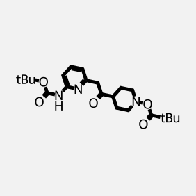 CC(C)(C)OC(=O)Nc1cccc(CC(=O)C2CCN(OC(=O)C(C)(C)C)CC2)n1